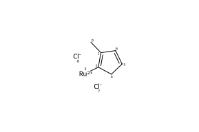 CC1=[C]([Ru+2])CC=C1.[Cl-].[Cl-]